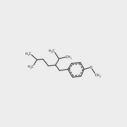 [CH2]Oc1ccc(CC(CCC(C)C)C(C)C)cc1